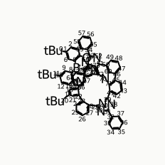 CC(C)(C)c1ccc2c(c1)B1c3cc(C(C)(C)C)ccc3N3c4ccc(C(C)(C)C)cc4-c4ccccc4-c4nc(-c5ccccc5)nc(n4)-c4cccc5c6cccc(-c7nc(-c8ccccc8)nc(-c8ccccc8)n7)c6n(c45)-c4cc(c1c3c4)O2